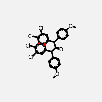 COc1ccc(C(C(=O)C(c2ccc(OC)cc2)c2ccc(Cl)c(Cl)c2)c2ccc(Cl)c(Cl)c2)cc1